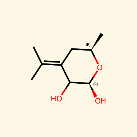 CC(C)=C1C[C@@H](C)O[C@@H](O)C1O